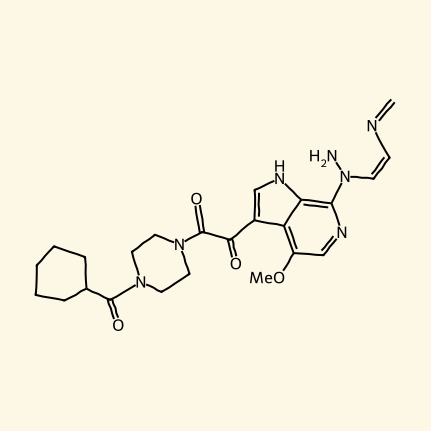 C=N/C=C\N(N)c1ncc(OC)c2c(C(=O)C(=O)N3CCN(C(=O)C4CCCCC4)CC3)c[nH]c12